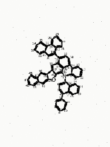 c1ccc(-c2ccc(N(c3ccccc3-c3ccc(-c4cc5ccccc5c5ccccc45)cc3)c3cccc4c3oc3cc5ccccc5cc34)c3ccccc23)cc1